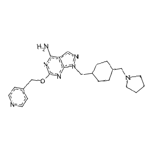 Nc1nc(OCc2ccncc2)nc2c1cnn2CC1CCC(CN2CCCC2)CC1